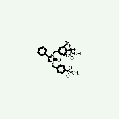 CS(=O)(=O)c1ccc(Cn2cc(-c3ccccc3)n(Cc3ccc(C(F)(F)P(=O)(O)O)c(Br)c3)c2=O)cc1